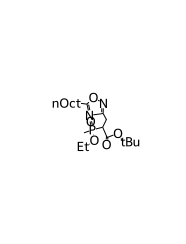 CCCCCCCCc1nc(CC(C(=O)OC(C)(C)C)P(C)(=O)OCC)no1